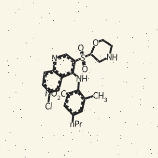 CCCc1cc(C)c(Nc2c(S(=O)(=O)C3CNCCO3)cnc3ccc(Cl)cc23)c(C(=O)O)c1